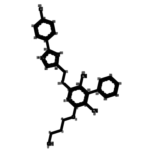 N#Cc1c(OCCCO)nc(SCc2csc(-c3ccc(Cl)cc3)n2)c(C#N)c1-c1ccccc1